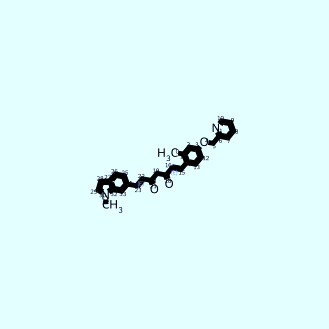 Cc1cc(OCc2ccccn2)ccc1/C=C/C(=O)CC(=O)/C=C/c1ccc2ccn(C)c2c1